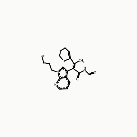 C/C(C1=CCCCO1)=C(\C(=O)NC=O)c1cn(CCCO)c2ncccc12